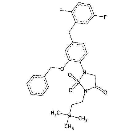 C[Si](C)(C)CCN1C(=O)CN(c2ccc(Cc3cc(F)ccc3F)cc2OCc2ccccc2)S1(=O)=O